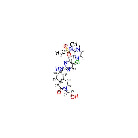 CN(c1nccnc1Cc1nc(Nc2ccc3c(c2)CCN(CCO)C(=O)C3)ncc1Cl)S(C)(=O)=O